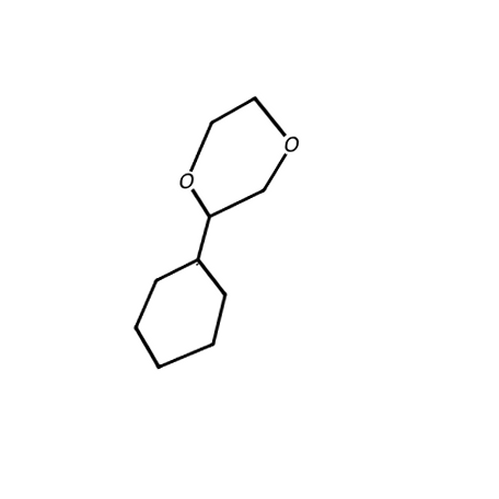 C1CC[C](C2COCCO2)CC1